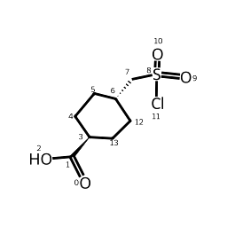 O=C(O)[C@H]1CC[C@H](CS(=O)(=O)Cl)CC1